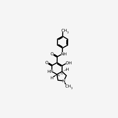 Cc1ccc(NC(=O)C2=C(O)[C@H]3CN(C)C[C@@H]3NC2=O)cc1